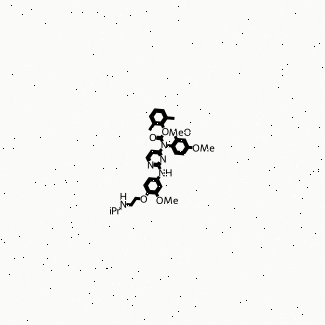 COc1ccc(N(C(=O)Oc2c(C)cccc2C)c2ccnc(Nc3ccc(OCCNC(C)C)c(OC)c3)n2)c(OC)c1